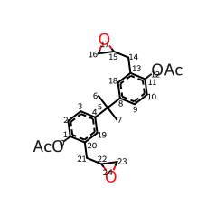 CC(=O)Oc1ccc(C(C)(C)c2ccc(OC(C)=O)c(CC3CO3)c2)cc1CC1CO1